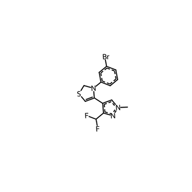 Cn1cc(C2=CSCN2c2cccc(Br)c2)c(C(F)F)n1